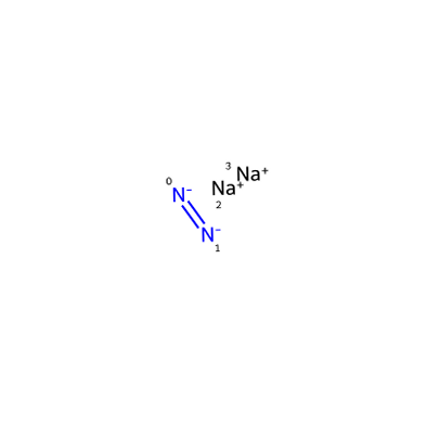 [N-]=[N-].[Na+].[Na+]